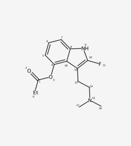 CCC(=O)Oc1cccc2[nH]c(F)c(CCN(C)C)c12